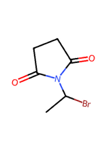 CC(Br)N1C(=O)CCC1=O